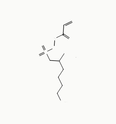 C=CC(=O)NOS(=O)(=O)CC(C)CCCCCCCCCCCCCC.[KH]